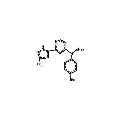 CCCCCCN(c1ccc(C(C)(C)C)cc1)c1ccnc(-c2cc(C(F)(F)F)n[nH]2)c1